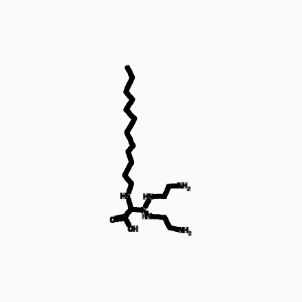 CCCCCCCCCCCCNC(C(=O)O)N(NCCN)NCCN